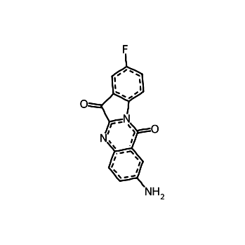 Nc1ccc2nc3n(c(=O)c2c1)-c1ccc(F)cc1C3=O